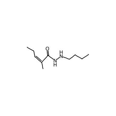 CCC=C(C)C(=O)NNCCCC